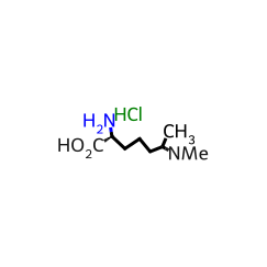 CNC(C)CCC[C@H](N)C(=O)O.Cl